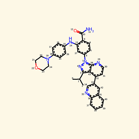 CC(C)c1nn(-c2ccc(C(N)=O)c(Nc3ccc(N4CCOCC4)cc3)c2)c2nccc(-c3cnc4ccccc4c3)c12